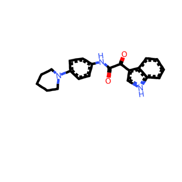 O=C(Nc1ccc(N2CCCCC2)cc1)C(=O)c1c[nH]c2ccccc12